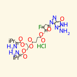 CC(C)[C@H](N)C(=O)OCC(COC(=O)[C@@H](N)C(C)C)OC(=O)CCC(=O)OC[C@H]1O[C@@H](n2cnc3c(=O)[nH]c(N)nc32)C[C@@H]1F.Cl